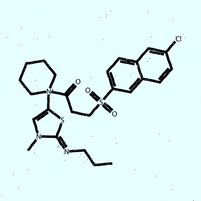 CCC/N=c1\sc([N+]2(C(=O)CCS(=O)(=O)c3ccc4cc(Cl)ccc4c3)CCCCC2)cn1C